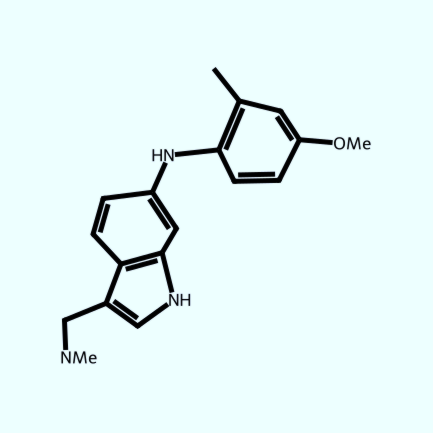 CNCc1c[nH]c2cc(Nc3ccc(OC)cc3C)ccc12